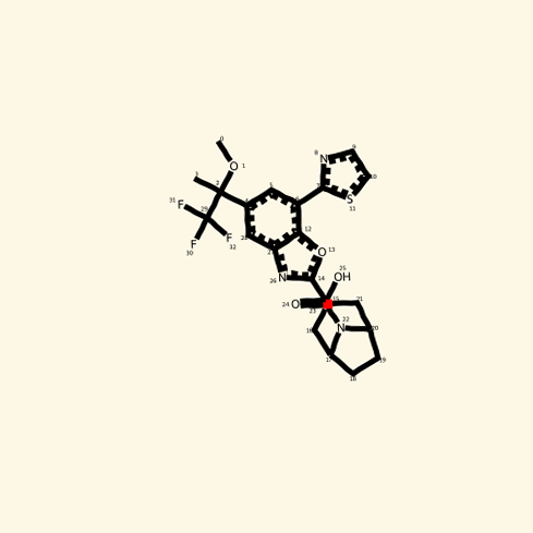 COC(C)(c1cc(-c2nccs2)c2oc(N3CC4CCC(C3)N4C(=O)O)nc2c1)C(F)(F)F